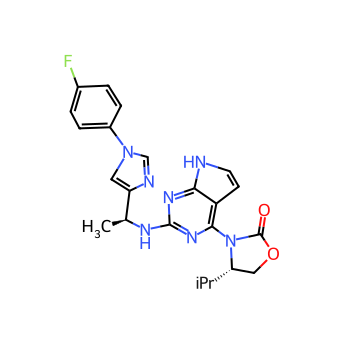 CC(C)[C@H]1COC(=O)N1c1nc(N[C@@H](C)c2cn(-c3ccc(F)cc3)cn2)nc2[nH]ccc12